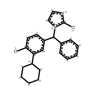 Clc1ccc(C(c2ccccc2)n2ccnc2Cl)cc1C1CCCCC1